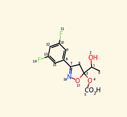 CC(O)C1(OC(=O)O)CC(c2cc(F)cc(F)c2)=NO1